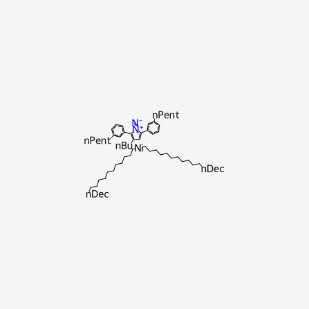 CCCCCCCCCCCCCCCCCCCC[CH2][Ni][CH2]CCCCCCCCCCCCCCCCCCCC.CCCCCc1cccc(C2=CC(CCCC)=C(c3cccc(CCCCC)c3)[N+]2=[N-])c1